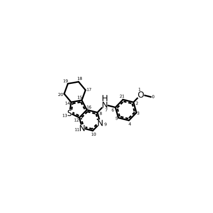 COc1cccc(Nc2ncnc3sc4c(c23)CCCC4)c1